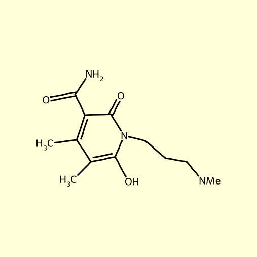 CNCCCn1c(O)c(C)c(C)c(C(N)=O)c1=O